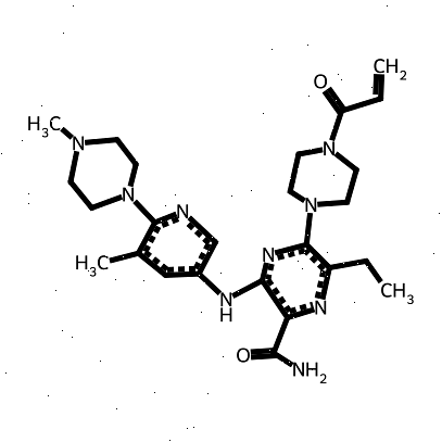 C=CC(=O)N1CCN(c2nc(Nc3cnc(N4CCN(C)CC4)c(C)c3)c(C(N)=O)nc2CC)CC1